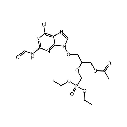 CCOP(=O)(COC(COC(C)=O)COn1cnc2c(Cl)nc(NC=O)nc21)OCC